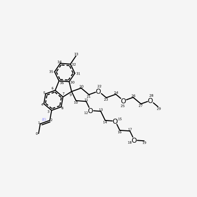 C/C=C/c1ccc2c(c1)C(CCOCCOCCOC)(CCOCCOCCOC)c1cc(C)ccc1-2